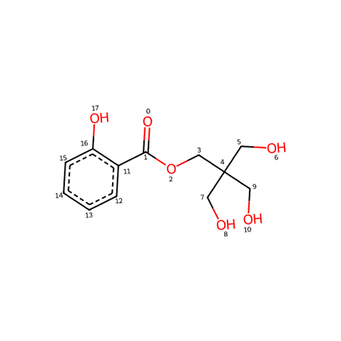 O=C(OCC(CO)(CO)CO)c1ccccc1O